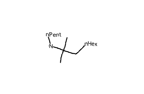 CCCCCCCC(C)(C)[N]CCCCC